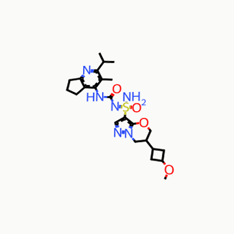 COC1CC(C2COc3c(S(N)(=O)=NC(=O)Nc4c(C)c(C(C)C)nc5c4CCC5)cnn3C2)C1